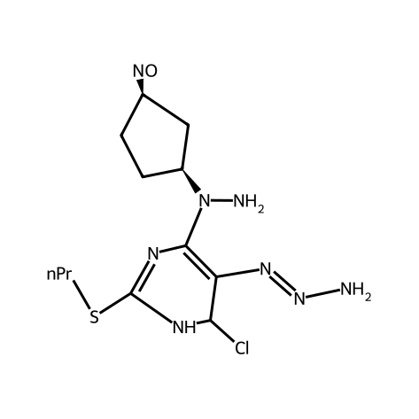 CCCSC1=NC(N(N)[C@H]2CC[C@@H](N=O)C2)=C(N=NN)C(Cl)N1